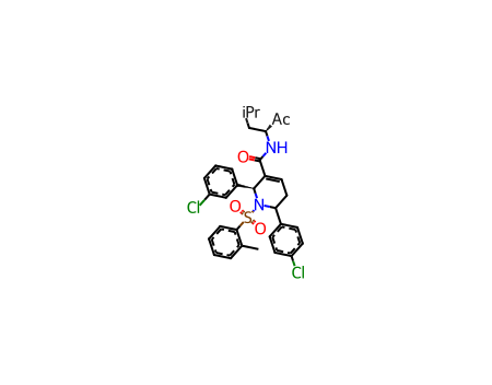 CC(=O)[C@H](CC(C)C)NC(=O)C1=CCC(c2ccc(Cl)cc2)N(S(=O)(=O)c2ccccc2C)[C@H]1c1cccc(Cl)c1